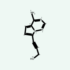 Nc1ncnn2c(C#CCO)ccc12